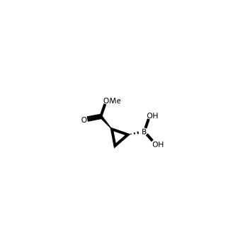 COC(=O)[C@@H]1C[C@H]1B(O)O